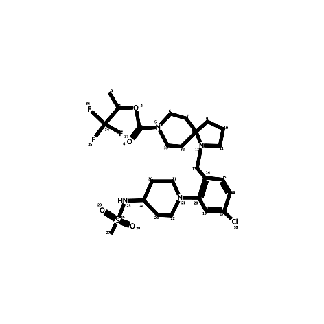 CC(OC(=O)N1CCC2(CCCN2Cc2ccc(Cl)cc2N2CCC(NS(C)(=O)=O)CC2)CC1)C(F)(F)F